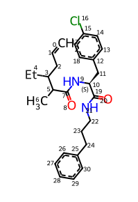 C=CCC(CC)C(C)C(=O)N[C@@H](Cc1ccc(Cl)cc1)C(=O)NCCCc1ccccc1